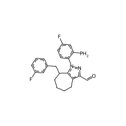 O=Cc1nn(-c2ccc(F)cc2P)c2c1CCCCC2Cc1cccc(F)c1